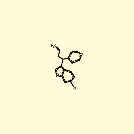 C=CCN(c1ccncc1)c1csc2cc(Cl)ccc12